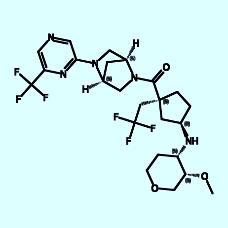 CO[C@@H]1COCC[C@@H]1N[C@@H]1CC[C@](CC(F)(F)F)(C(=O)N2C[C@@H]3C[C@H]2CN3c2cncc(C(F)(F)F)n2)C1